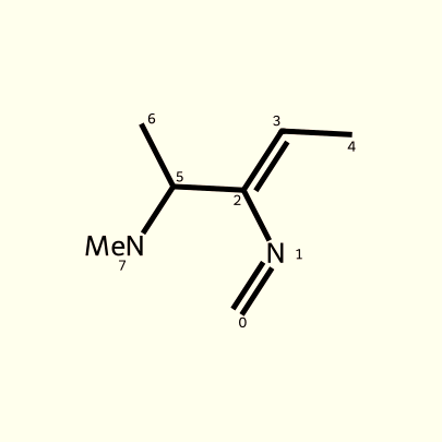 C=N/C(=C\C)C(C)NC